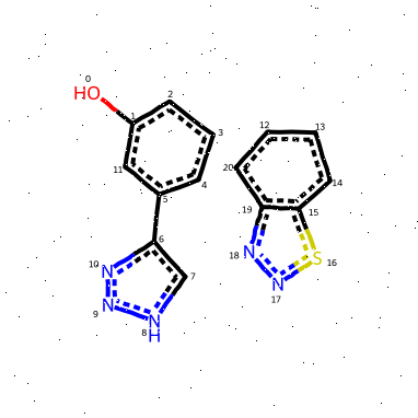 Oc1cccc(-c2c[nH]nn2)c1.c1ccc2snnc2c1